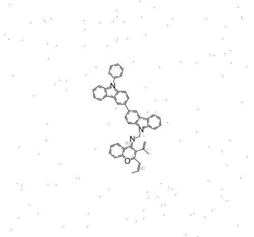 C=C(C)c1c(/C=C\C)oc2ccccc2/c1=N/Cn1c2ccccc2c2cc(-c3ccc4c(c3)c3ccccc3n4-c3ccccc3)ccc21